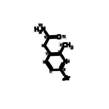 Cc1nc(Br)ccc1CC(N)=O